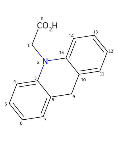 O=C(O)CN1c2ccccc2Cc2ccccc21